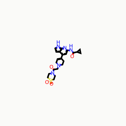 O=C(Nc1cc(C2=CCN(CC(=O)N3CCS(=O)(=O)CC3)CC2)c2cc[nH]c2n1)C1CC1